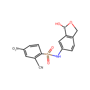 N#Cc1cc([N+](=O)[O-])ccc1S(=O)(=O)Nc1ccc2c(c1)B(O)OC2